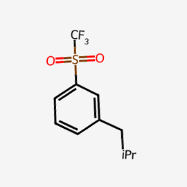 CC(C)Cc1cccc(S(=O)(=O)C(F)(F)F)c1